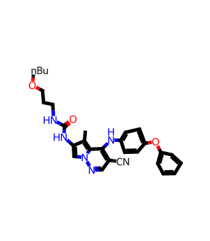 CCCCOCCCNC(=O)Nc1cn2ncc(C#N)c(Nc3ccc(Oc4ccccc4)cc3)c2c1C